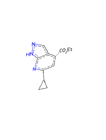 CCOC(=O)c1cc(C2CC2)nc2[nH]ncc12